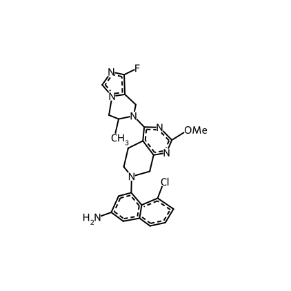 COc1nc2c(c(N3Cc4c(F)ncn4CC3C)n1)CCN(c1cc(N)cc3cccc(Cl)c13)C2